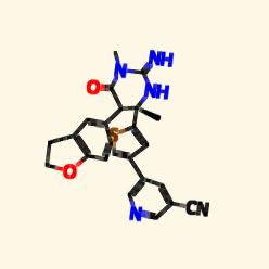 CN1C(=N)N[C@](C)(c2cc(-c3cncc(C#N)c3)cs2)C(c2ccc3c(c2)CCO3)C1=O